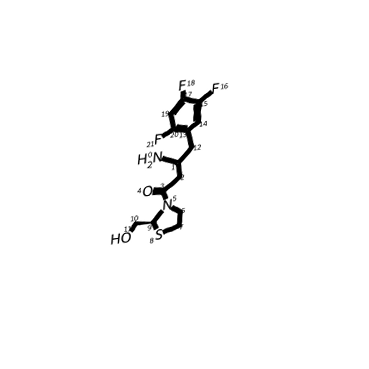 NC(CC(=O)N1CCS[C@H]1CO)Cc1cc(F)c(F)cc1F